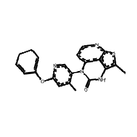 Cc1cc(OC2=CCCC=C2)ncc1N1C(=O)Nc2c(C)sc3nccc1c23